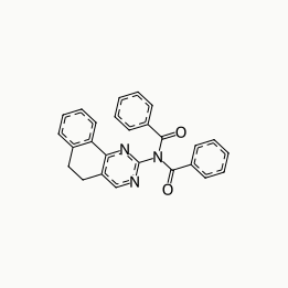 O=C(c1ccccc1)N(C(=O)c1ccccc1)c1ncc2c(n1)-c1ccccc1CC2